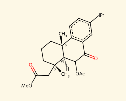 COC(=O)C[C@]1(C)CCC[C@]2(C)c3ccc(C(C)C)cc3C(=O)C(OC(C)=O)[C@@H]12